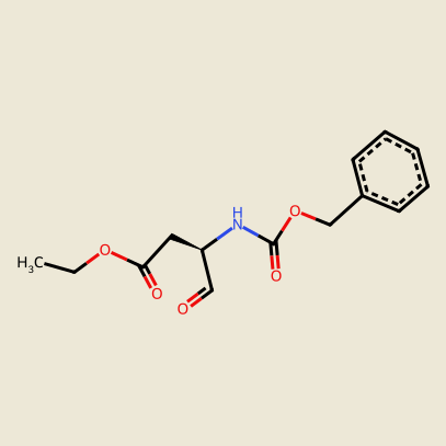 CCOC(=O)C[C@H](C=O)NC(=O)OCc1ccccc1